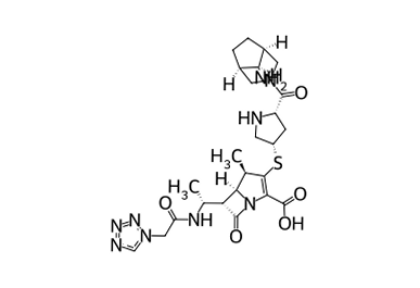 C[C@@H](NC(=O)Cn1cnnn1)[C@H]1C(=O)N2C(C(=O)O)=C(S[C@@H]3CN[C@H](C(=O)N4C[C@H]5CC[C@@H](C4)[C@H]5N)C3)[C@H](C)[C@H]12